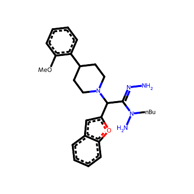 CCCCN(N)/C(=N\N)C(c1cc2ccccc2o1)N1CCC(c2ccccc2OC)CC1